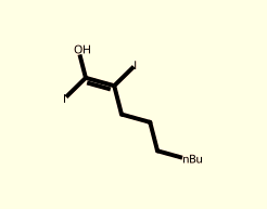 CCCCCCC/C(I)=C(/O)I